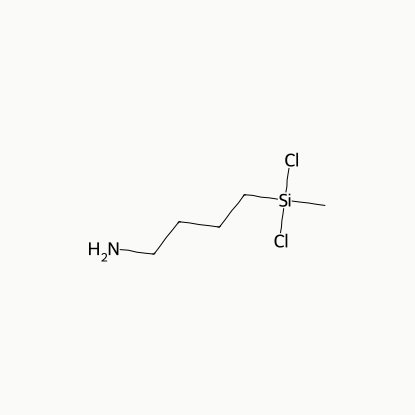 C[Si](Cl)(Cl)CCCCN